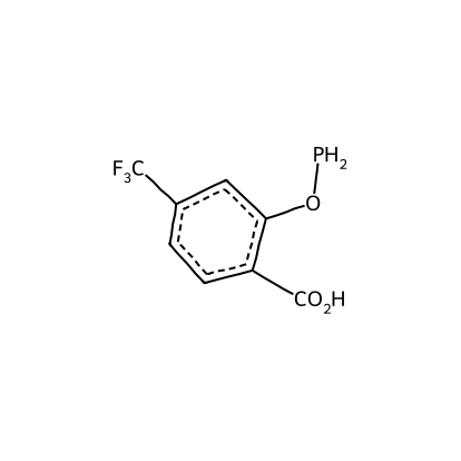 O=C(O)c1ccc(C(F)(F)F)cc1OP